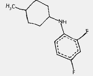 CC1CCC(Nc2ccc(F)cc2F)CC1